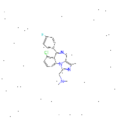 Cc1nc(CN(C)C)n2c1CN=C(c1ccc(F)cc1)c1c(Cl)cccc1-2